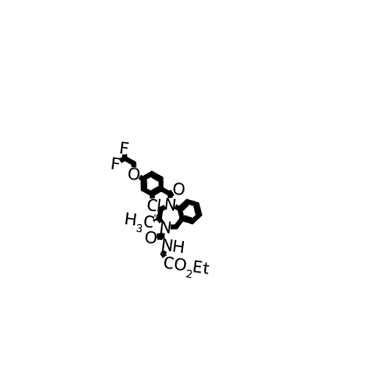 CCOC(=O)CNC(=O)N1Cc2ccccc2N(C(=O)c2ccc(OCC(F)F)cc2Cl)C[C@H]1C